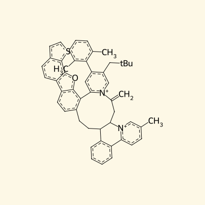 C=C1CC2C(CCc3ccc4c(oc5c4ccc4ccsc45)c3-c3cc(-c4c(C)cccc4C)c(CC(C)(C)C)c[n+]31)c1ccccc1-c1ccc(C)c[n+]12